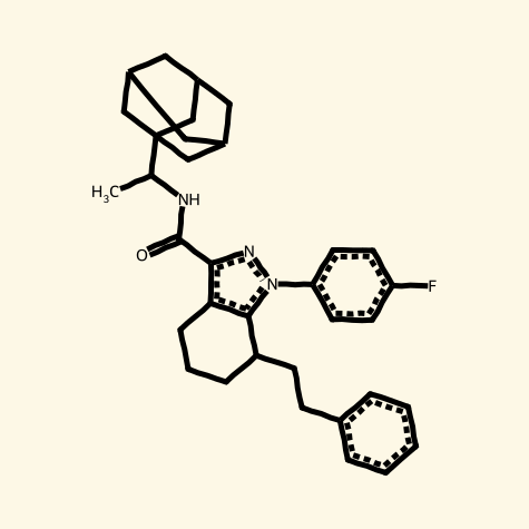 CC(NC(=O)c1nn(-c2ccc(F)cc2)c2c1CCCC2CCc1ccccc1)C12CC3CC(CC(C3)C1)C2